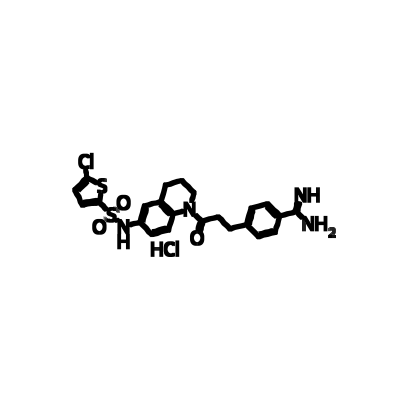 Cl.N=C(N)c1ccc(CCC(=O)N2CCCc3cc(NS(=O)(=O)c4ccc(Cl)s4)ccc32)cc1